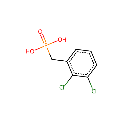 O=P(O)(O)Cc1cccc(Cl)c1Cl